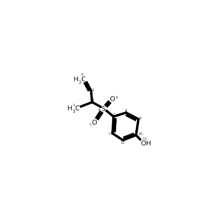 C=CC(C)S(=O)(=O)c1ccc(O)cc1